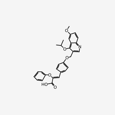 COc1ccc2ncc(COc3ccc(C=C(Oc4ccccc4)C(=O)O)cc3)c(OC(C)C)c2c1